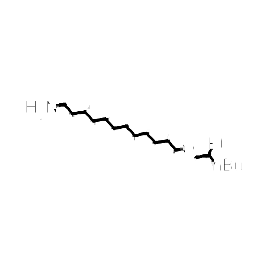 CCCCC(CC)COCCCCCCCCCCCCN